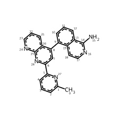 Cc1cccc(-c2cc(-c3cccc4c(N)nccc34)c3cccnc3n2)n1